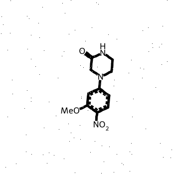 COc1cc(N2CCNC(=O)C2)ccc1[N+](=O)[O-]